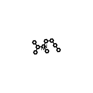 c1ccc(-c2ccc(-c3cccc(-c4cccc(-c5cc(-c6cc(-c7ccccc7)cc(-c7ccccc7)c6)nc(-c6ccccc6)n5)c4)c3)cc2)cc1